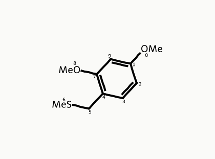 COc1ccc(CSC)c(OC)c1